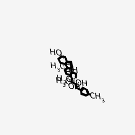 Cc1ccc(C[C@@H](O)[C@@](C)(O)[C@H]2CC[C@H]3[C@@H]4CC=C5C[C@@H](O)CC[C@]5(C)[C@H]4CC[C@]23C)cc1